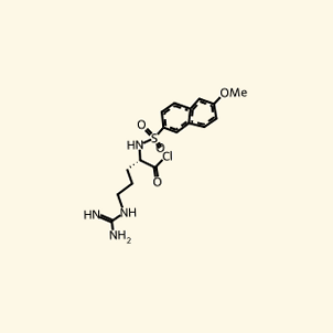 COc1ccc2cc(S(=O)(=O)N[C@@H](CCCNC(=N)N)C(=O)Cl)ccc2c1